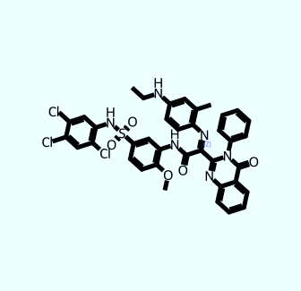 CCNc1ccc(/N=C(\C(=O)Nc2cc(S(=O)(=O)Nc3cc(Cl)c(Cl)cc3Cl)ccc2OC)c2nc3ccccc3c(=O)n2-c2ccccc2)c(C)c1